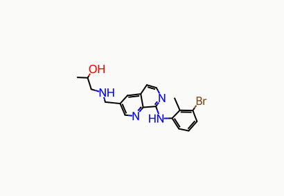 Cc1c(Br)cccc1Nc1nccc2cc(CNCC(C)O)cnc12